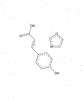 O=C(O)/C=C/c1ccc(O)cc1.c1cocn1